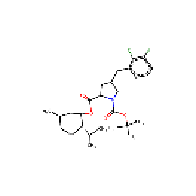 CC(C)[C@@H]1CC[C@@H](C)C[C@H]1OC(=O)C1CC(Cc2cccc(F)c2F)CN1C(=O)OC(C)(C)C